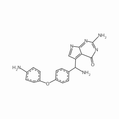 NC1=NC(=O)C2=C(C(N)c3ccc(Oc4ccc(N)cc4)cc3)C=NC2=N1